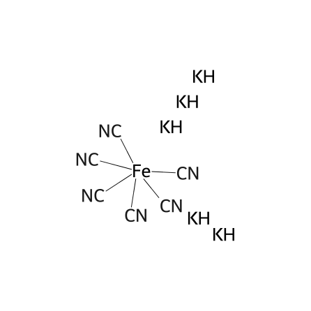 N#[C][Fe]([C]#N)([C]#N)([C]#N)([C]#N)[C]#N.[KH].[KH].[KH].[KH].[KH]